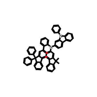 CC1(C)c2ccccc2-c2ccc(N(c3ccc4c5ccccc5n(-c5ccccc5)c4c3)c3ccccc3-c3ccc4c(c3)C(c3ccccc3)(c3ccccc3)c3ccccc3-4)cc21